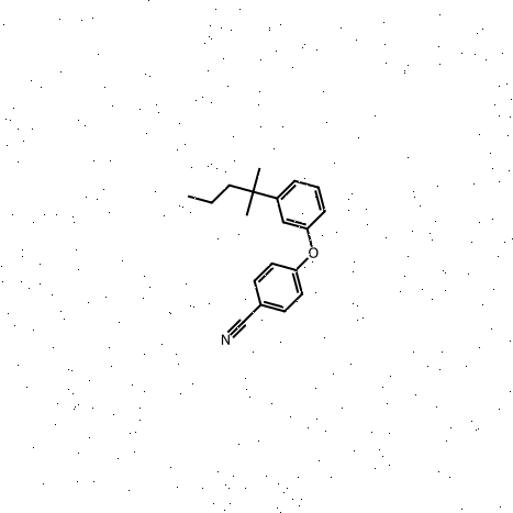 CCCC(C)(C)c1cccc(Oc2ccc(C#N)cc2)c1